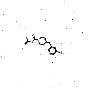 C=C(C)OC(=O)N1CCC(Oc2cncc(C(C)(C)C)c2)CC1